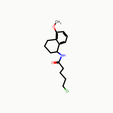 COc1cccc2c1CCCC2NC(=O)CCCCCl